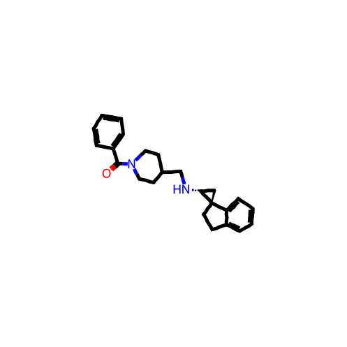 O=C(c1ccccc1)N1CCC(CN[C@@H]2C[C@@]23CCc2ccccc23)CC1